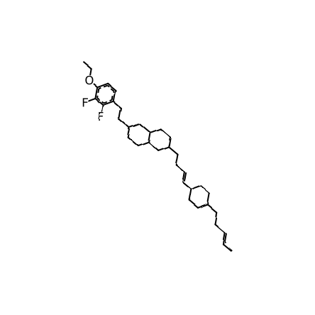 C/C=C/CCC1CCC(/C=C/CCC2CCC3CC(CCc4ccc(OCC)c(F)c4F)CCC3C2)CC1